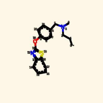 [CH2]CCN(C)Cc1ccc(Oc2nc3ccccc3s2)cc1